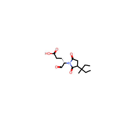 CCC(C)(CC)C1CC(=O)N([C@H](C=O)CCC(=O)O)C1=O